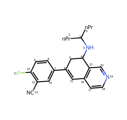 CCCC(CCC)NC1CC(c2ccc(F)c(C#N)c2)=Cc2ccncc21